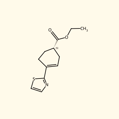 CCOC(=O)[C@@H]1CC=C(c2nccs2)CC1